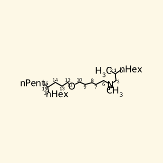 CCCCCCC(C)CN(C)CCCCCOCCCC(CCCCC)CCCCCC